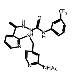 C=C(NNC(=O)Nc1cccc(C(F)(F)F)c1)c1cccnc1SCc1ccnc(NC(C)=O)c1